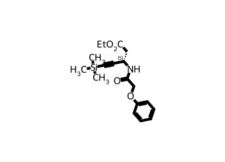 CCOC(=O)C[C@@H](C#C[Si](C)(C)C)NC(=O)COc1ccccc1